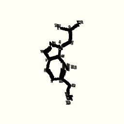 FC(F)Cn1ncc2ccc(CBr)nc21